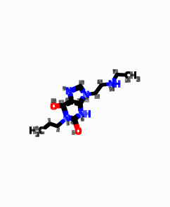 CCCn1c(=O)[nH]c2c(ncn2CCNCC)c1=O